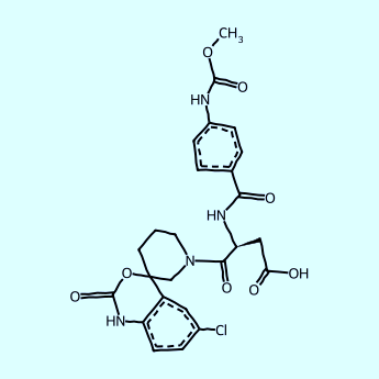 COC(=O)Nc1ccc(C(=O)N[C@@H](CC(=O)O)C(=O)N2CCCC3(C2)OC(=O)Nc2ccc(Cl)cc23)cc1